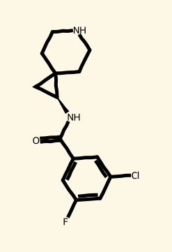 O=C(N[C@H]1CC12CCNCC2)c1cc(F)cc(Cl)c1